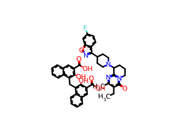 CCc1c(C)nc2n(c1=O)CCCC2N1CCC(c2noc3cc(F)ccc23)CC1.O=C(O)c1cc2ccccc2c(Cc2c(O)c(C(=O)O)cc3ccccc23)c1O